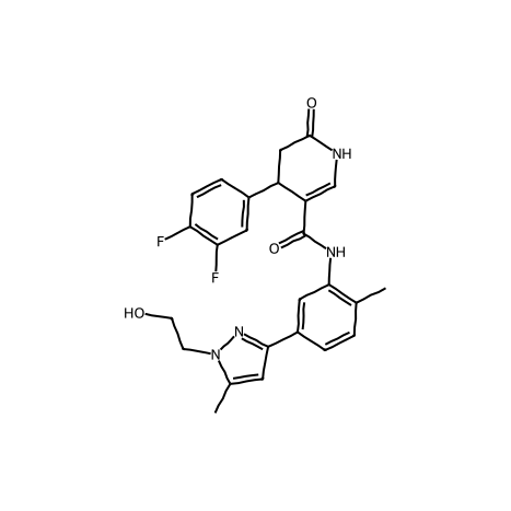 Cc1ccc(-c2cc(C)n(CCO)n2)cc1NC(=O)C1=CNC(=O)CC1c1ccc(F)c(F)c1